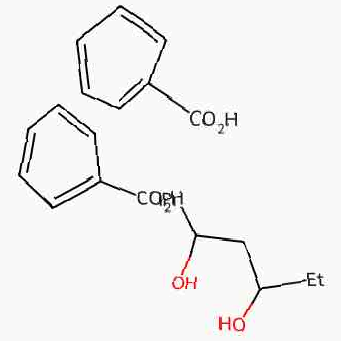 CCC(O)CC(O)C(C)C.O=C(O)c1ccccc1.O=C(O)c1ccccc1